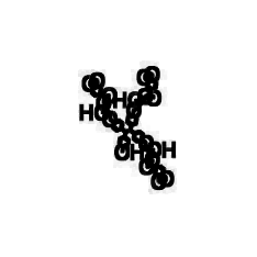 O=C(OCC(O)COc1ccc(C(c2ccc(O)cc2)C(c2ccc(OCC(O)COC(=O)c3ccc4c(c3)OCO4)cc2)c2ccc(OCC(O)COC(=O)c3ccc4c(c3)OCO4)cc2)cc1)c1ccc2c(c1)OCO2